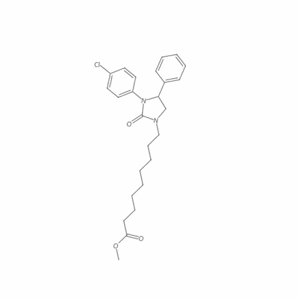 COC(=O)CCCCCCCCN1CC(c2ccccc2)N(c2ccc(Cl)cc2)C1=O